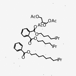 CC(=O)OCC(COC(C)=O)OC(C)=O.CC(C)CCCCCCCOC(=O)c1ccccc1.CC(C)CCCCOC(=O)c1ccccc1C(=O)OCCCCC(C)C